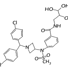 CS(=O)(=O)N(c1cccc(C(=O)NCC(O)C(O)O)c1)C1CN(C(c2ccc(Cl)cc2)c2ccc(Cl)cc2)C1